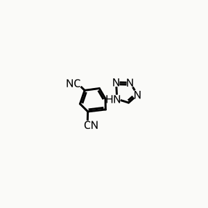 N#Cc1cccc(C#N)c1.c1nnn[nH]1